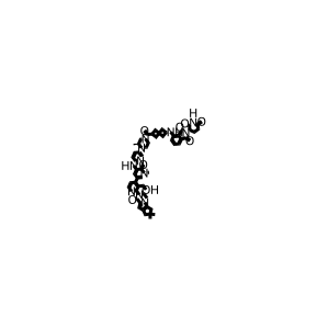 C[C@H]1CN(C(=O)C2CC3(CC(Nc4cccc5c4C(=O)N(C4CCC(=O)NC4=O)C5=O)C3)C2)CCN1c1ccc(Nc2cc(-c3ccnc(N4CCn5c(cc6c5CC(C)(C)C6)C4=O)c3CO)cn(C)c2=O)nc1